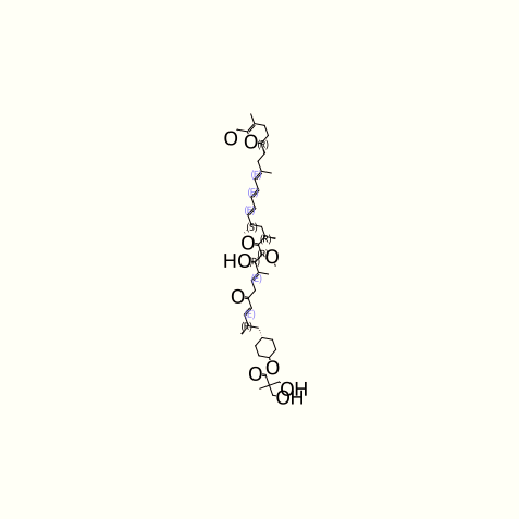 CO[C@@H](C(=O)[C@H](C)C[C@H](C)/C=C/C=C/C=C(\C)CC[C@@H]1CCC(C)=C(C=O)O1)[C@H](O)/C(C)=C/CC(=O)/C=C/[C@H](C)C[C@H]1CC[C@H](OC(=O)C(C)(CO)CO)CC1